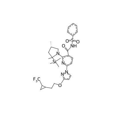 C[C@@H]1CN(c2nc(-n3ccc(OCCC4CC4C(F)(F)F)n3)ccc2C(=O)NS(=O)(=O)c2ccccc2)C(C)([Si](C)(C)C)C1